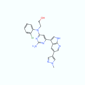 Cn1cc(-c2cnc3[nH]cc(-c4cc(N(CCO)c5ccccc5Cl)nc(N)n4)c3c2)cn1